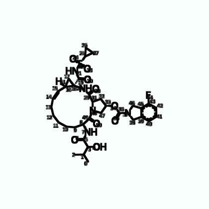 CC(C)C(O)C(=O)N[C@H]1CCCCC/C=C\[C@@H]2C[C@@]2(C(=O)NS(=O)(=O)C2CC2)NC(=O)C2C[C@@H](OC(=O)N3Cc4cccc(F)c4C3)CN2C1=O